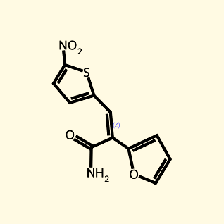 NC(=O)/C(=C\c1ccc([N+](=O)[O-])s1)c1ccco1